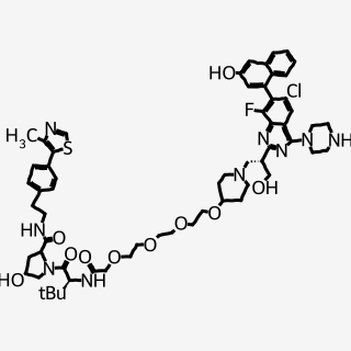 Cc1ncsc1-c1ccc(CCNC(=O)C2CC(O)CN2C(=O)[C@@H](NC(=O)COCCOCCOCCOC2CCN(C[C@@H](CO)c3nc(N4CCNCC4)c4cc(Cl)c(-c5cc(O)cc6ccccc56)c(F)c4n3)CC2)C(C)(C)C)cc1